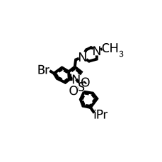 CC(C)c1ccc(S(=O)(=O)n2cc(CN3CCN(C)CC3)c3cc(Br)ccc32)cc1